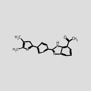 CC(=O)c1cccc2nc(-c3ccc(C4=NC(C)=C(C)C4)cc3)[nH]c12